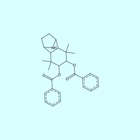 CC1(C)C(OC(=O)c2ccccc2)C(OC(=O)c2ccccc2)C(C)(C)C2C3CCC(N3)C21